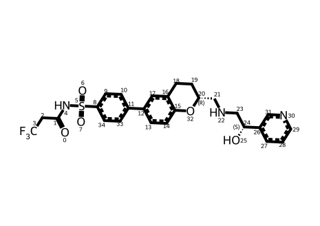 O=C(CC(F)(F)F)NS(=O)(=O)c1ccc(-c2ccc3c(c2)CC[C@H](CNC[C@@H](O)c2cccnc2)O3)cc1